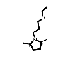 CCOCCCN1[C@H](C)CC[C@@H]1C